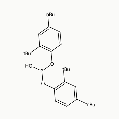 CCCCc1ccc(OP(O)Oc2ccc(CCCC)cc2C(C)(C)C)c(C(C)(C)C)c1